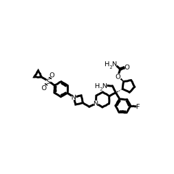 NCC(c1cccc(F)c1)(C1CCN(CC2CN(c3ccc(S(=O)(=O)C4CC4)cc3)C2)CC1)[C@H]1CCC[C@@H]1OC(N)=O